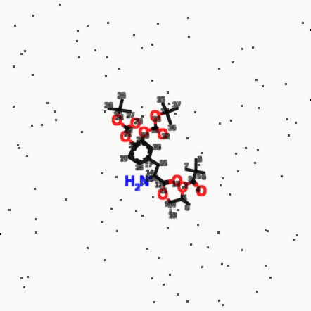 CC(OC(=O)C(C)(C)C)[C@H](C)OC(=O)[C@@H](N)Cc1ccc(OC(=O)OC(C)(C)C)c(OC(=O)OC(C)(C)C)c1